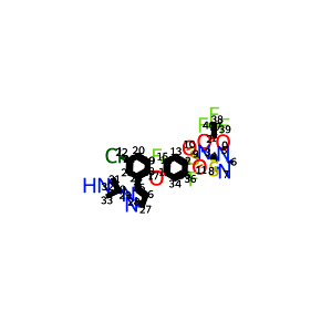 O=C(ON(c1ncns1)S(=O)(=O)c1cc(F)c(Oc2ccc(Cl)cc2-c2ccnn2C2CNC2)cc1F)C(F)(F)F